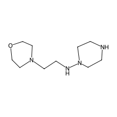 C1CN(NCCN2CCOCC2)CCN1